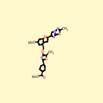 COC(=O)c1ccc(-c2nc(OCc3cc(OC)cc4oc(-c5cn6nc(C)sc6n5)cc34)c(C)s2)cc1